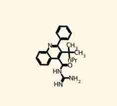 CCCC(C)(C)c1c(-c2ccccc2)nc2ccccc2c1C(=O)NC(=N)N